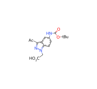 CC(=O)c1nn(CC(=O)O)c2ccc(NC(=O)OC(C)(C)C)cc12